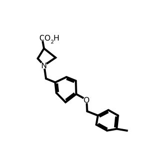 Cc1ccc(COc2ccc(CN3CC(C(=O)O)C3)cc2)cc1